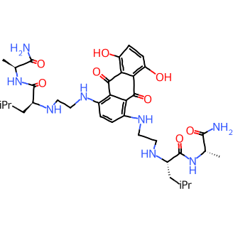 CC(C)C[C@H](NCCNc1ccc(NCCN[C@@H](CC(C)C)C(=O)N[C@@H](C)C(N)=O)c2c1C(=O)c1c(O)ccc(O)c1C2=O)C(=O)N[C@@H](C)C(N)=O